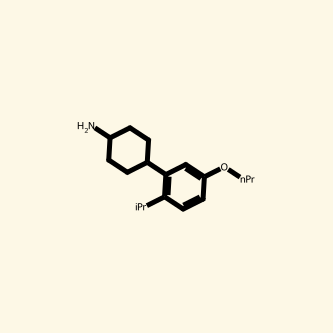 CCCOc1ccc(C(C)C)c(C2CCC(N)CC2)c1